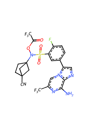 N#CC12CCC(N(OC(=O)C(F)(F)F)S(=O)(=O)c3cc(-c4cnc5c(N)nc(C(F)(F)F)cn45)ccc3F)(C1)C2